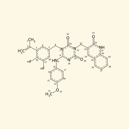 C=C(C)c1cc(Cn2c(Nc3ccc(OC)cc3)nc(=O)n(Cc3cc4ccccc4[nH]c3=O)c2=O)cc(F)c1F